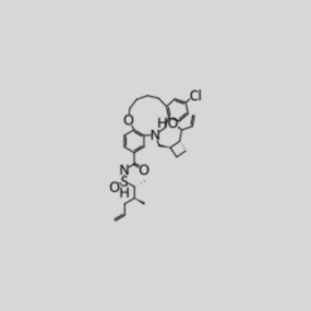 C=CC[C@H](C)[C@@H](C)/[SH](=O)=N\C(=O)c1ccc2c(c1)N(C[C@@H]1CC[C@H]1[C@@H](O)C=C)Cc1ccc(Cl)cc1CCCCO2